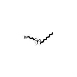 CCCCCCCCC(C)OC(=O)OCCCCBr